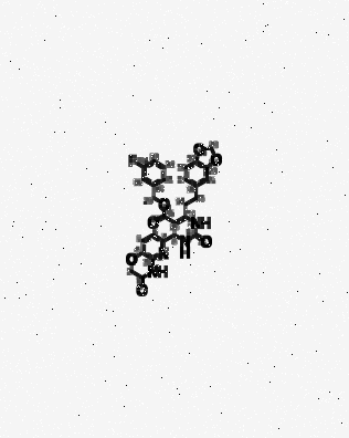 O=C1COc2ccc(C3NC(=O)NC(CCc4ccc5c(c4)OCO5)=C3C(=O)OCc3cccc(F)c3)nc2N1